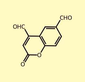 O=Cc1ccc2oc(=O)cc(C=O)c2c1